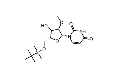 COC1C(O)[C@@H](CO[Si](C)(C)C(C)(C)C)O[C@H]1n1ccc(=O)[nH]c1=O